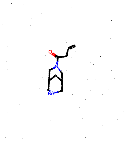 C=CCC(=O)N1CC2CNCC(C2)C1